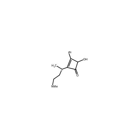 CNCCN(C)C1=C(C(C)C)C(O)C1=O